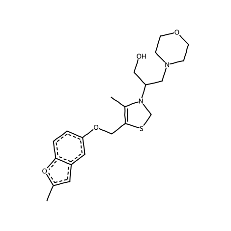 CC1=C(COc2ccc3oc(C)cc3c2)SCN1C(CO)CN1CCOCC1